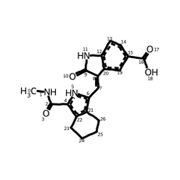 CNC(=O)c1[nH]c(C=C2C(=O)Nc3ccc(C(=O)O)cc32)c2c1CCCC2